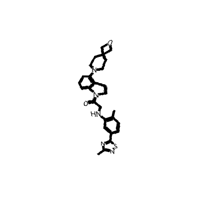 Cc1nsc(-c2ccc(C)c(NCC(=O)N3CCc4c(N5CCC6(CC5)COC6)cccc43)c2)n1